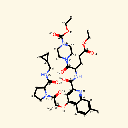 CCOC(=O)CCC(NC(=O)c1cc(O[C@H](C)C(=O)N2CCCC2C(=O)NCC2CC2)c2ccc(C)cc2n1)C(=O)N1CCN(C(=O)OCC)CC1